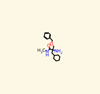 CNC(=O)C(N)(COCc1ccccc1)CC1CCCCC1